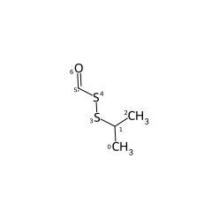 CC(C)SS[C]=O